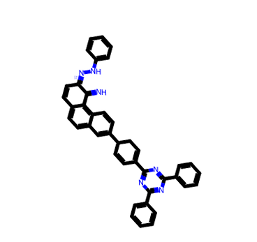 N=C1/C(=N\Nc2ccccc2)C=Cc2ccc3cc(C4C=CC(c5nc(-c6ccccc6)nc(-c6ccccc6)n5)=CC4)ccc3c21